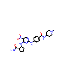 CN1CCC(NC(=O)c2ccc(Nc3ncc([N+](=O)[O-])c(N[C@@H]4CCC[C@@H]4C(N)=O)n3)cc2)CC1